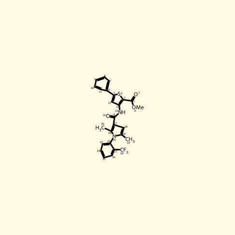 COC(=O)c1sc(-c2ccccc2)cc1NC(=O)c1cc(C)n(-c2ccccc2C(F)(F)F)c1C